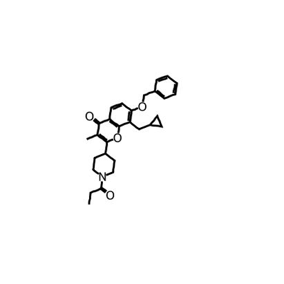 CCC(=O)N1CCC(c2oc3c(CC4CC4)c(OCc4ccccc4)ccc3c(=O)c2C)CC1